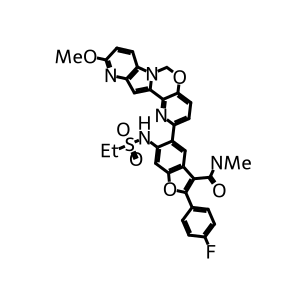 CCS(=O)(=O)Nc1cc2oc(-c3ccc(F)cc3)c(C(=O)NC)c2cc1-c1ccc2c(n1)-c1cc3nc(OC)ccc3n1CO2